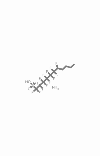 CCCCC(F)C(F)(F)C(F)(F)C(F)(F)C(F)(F)C(F)(F)C(F)(F)S(=O)(=O)O.N